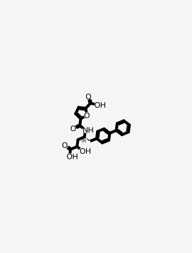 O=C(O)c1ccc(C(=O)N[C@H](Cc2ccc(-c3ccccc3)cc2)CC(O)C(=O)O)o1